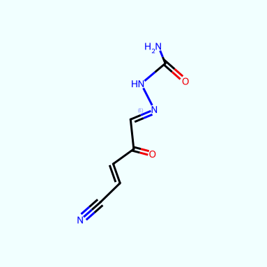 N#CC=CC(=O)/C=N/NC(N)=O